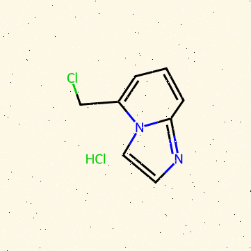 Cl.ClCc1cccc2nccn12